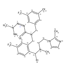 C=C(/N=N\N(C)N)N(Cc1cc(C(F)(F)F)cc(C(F)(F)F)c1)Cc1cc(C(F)(F)F)ccc1C(CC)N(C)CCn1ccnc1C